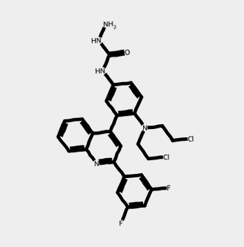 NNC(=O)Nc1ccc(N(CCCl)CCCl)c(-c2cc(-c3cc(F)cc(F)c3)nc3ccccc23)c1